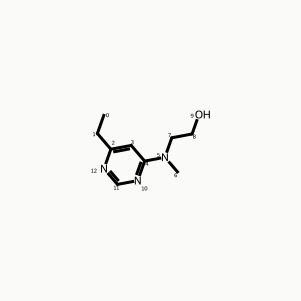 CCc1cc(N(C)CCO)ncn1